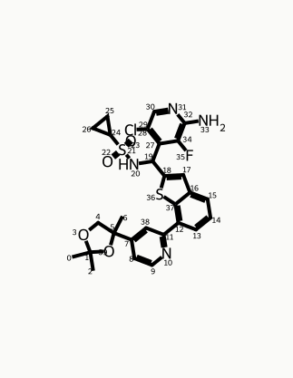 CC1(C)OCC(C)(c2ccnc(-c3cccc4cc(C(NS(=O)(=O)C5CC5)c5c(Cl)cnc(N)c5F)sc34)c2)O1